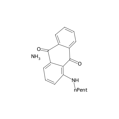 CCCCCNc1cccc2c1C(=O)c1ccccc1C2=O.N